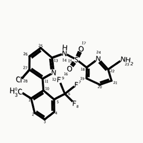 Cc1cccc(C(F)(F)F)c1-c1nc(NS(=O)(=O)c2cccc(N)n2)ccc1Cl